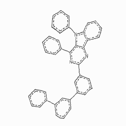 c1ccc(-c2cccc(-c3cccc(-c4nc(-c5ccccc5)c5c(n4)c4ccccc4n5-c4ccccc4)c3)c2)cc1